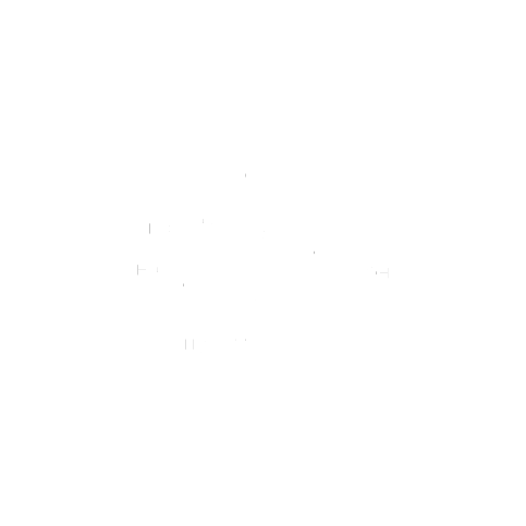 COc1c(C=O)c2c(c(OC)c1OC)C=CC(O)O2